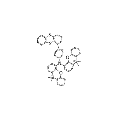 C[Si]1(C)c2ccccc2Oc2c(N(c3ccc(-c4cccc5c4Sc4ccccc4S5)cc3)c3cccc4c3Oc3ccccc3[Si]4(C)C)cccc21